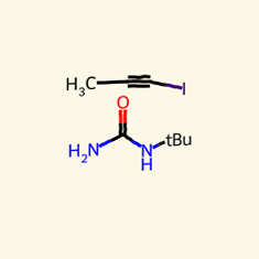 CC#CI.CC(C)(C)NC(N)=O